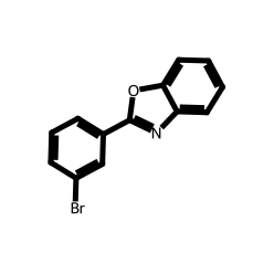 Brc1cccc(-c2nc3ccccc3o2)c1